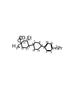 CCCc1ccc(C2CCC(C3CCC(C)(OC(=O)OCC)CC3)CC2)cc1